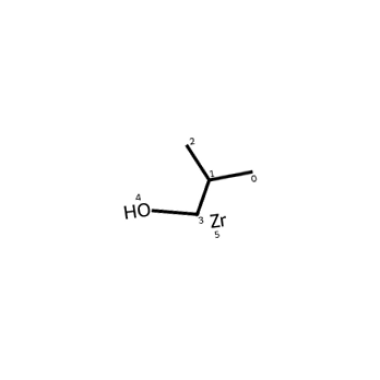 CC(C)CO.[Zr]